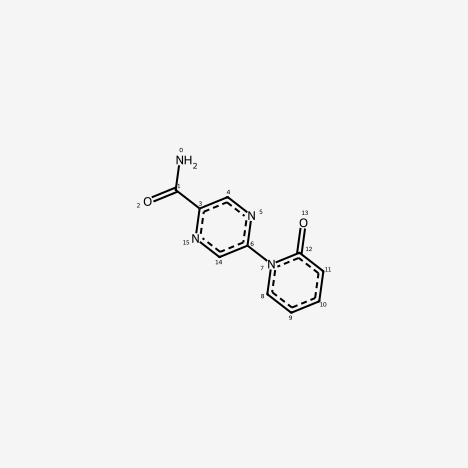 NC(=O)c1cnc(-n2ccccc2=O)cn1